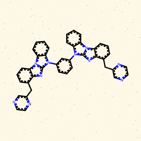 c1cc(-n2c3ccccc3n3c4cccc(Cc5cnccn5)c4nc23)cc(-n2c3ccccc3n3c4cccc(Cc5cnccn5)c4nc23)c1